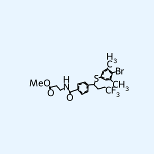 COC(=O)CCNC(=O)c1ccc(C(CCC(F)(F)F)Sc2cc(C)c(Br)c(C)c2)cc1